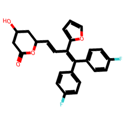 O=C1CC(O)CC(/C=C/C(=C(c2ccc(F)cc2)c2ccc(F)cc2)c2ccco2)O1